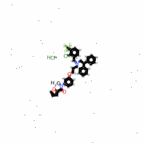 CN(C(=O)c1ccco1)c1cccc(OCCCN(Cc2cccc(C(F)(F)F)c2Cl)CC(c2ccccc2)c2ccccc2)c1.Cl